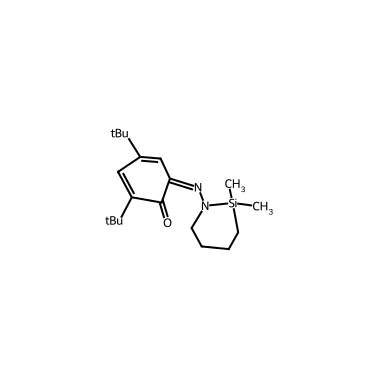 CC(C)(C)C1=CC(=NN2CCCC[Si]2(C)C)C(=O)C(C(C)(C)C)=C1